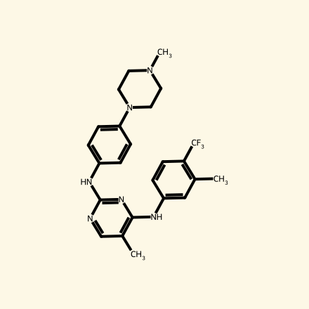 Cc1cc(Nc2nc(Nc3ccc(N4CCN(C)CC4)cc3)ncc2C)ccc1C(F)(F)F